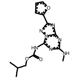 CNc1nc(NC(=O)OCC(C)C)n2nc(-c3ccco3)nc2n1